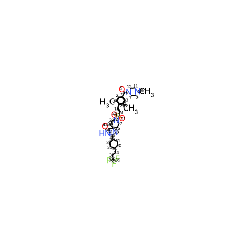 Cc1cc(C(=O)N2CCN(C)CC2)cc(C)c1C=CS(=O)(=O)N1CCC2(CC1)N=C(C1CCC(CCC(F)(F)F)CC1)NC2=O